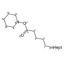 CCCCCCCCCCCC(=O)ON1CCCCC1